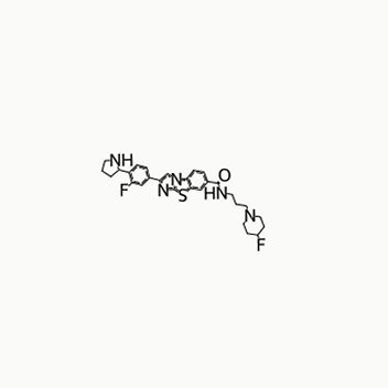 O=C(NCCCN1CCC(F)CC1)c1ccc2c(c1)sc1nc(-c3ccc(C4CCCN4)c(F)c3)cn12